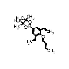 C=Cc1cc(B2OC(C)(C)C(C)(C)O2)cc(C=C)c1OCCCC